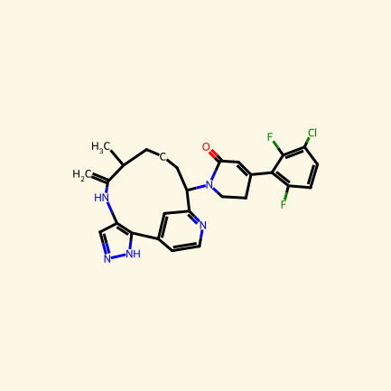 C=C1Nc2cn[nH]c2-c2ccnc(c2)C(N2CCC(c3c(F)ccc(Cl)c3F)=CC2=O)CCCC1C